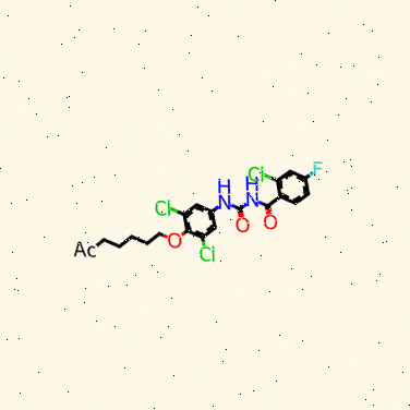 CC(=O)CCCCCOc1c(Cl)cc(NC(=O)NC(=O)c2ccc(F)cc2Cl)cc1Cl